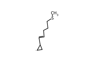 CSCCCC=CC1[CH]C1